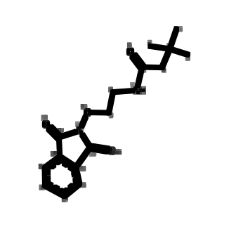 CC(C)(C)CC(=O)NCCON1C(=O)c2ccccc2C1=O